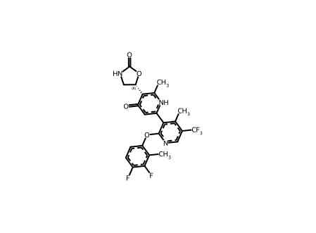 Cc1[nH]c(-c2c(Oc3ccc(F)c(F)c3C)ncc(C(F)(F)F)c2C)cc(=O)c1[C@@H]1CNC(=O)O1